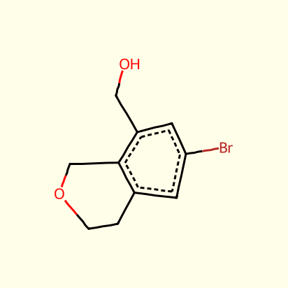 OCc1cc(Br)cc2c1COCC2